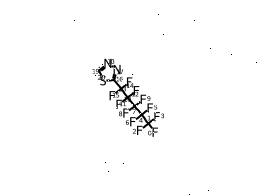 FC(F)(F)C(F)(F)C(F)(F)C(F)(F)C(F)(F)c1nn[c]s1